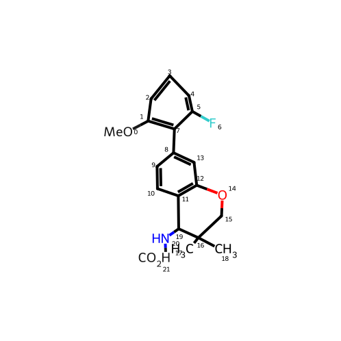 COc1cccc(F)c1-c1ccc2c(c1)OCC(C)(C)C2NC(=O)O